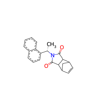 C[C@@H](c1cccc2ccccc12)N1C(=O)C2C3C=CC(C3)C2C1=O